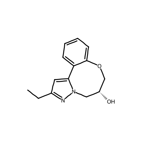 CCc1cc2n(n1)C[C@@H](O)COc1ccccc1-2